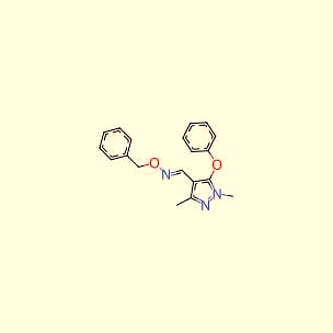 Cc1nn(C)c(Oc2ccccc2)c1C=NOCc1ccccc1